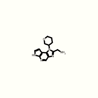 NCc1nc2cnc3[nH]ccc3c2n1C1CCCOC1